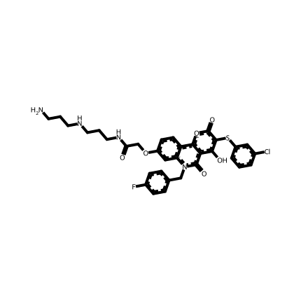 NCCCNCCCNC(=O)COc1ccc2c3oc(=O)c(Sc4cccc(Cl)c4)c(O)c3c(=O)n(Cc3ccc(F)cc3)c2c1